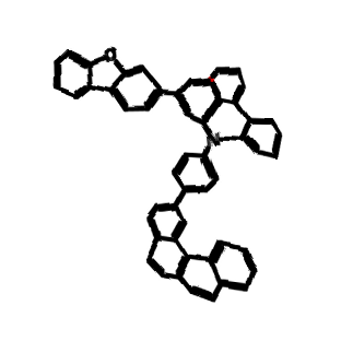 c1ccc(-c2ccccc2N(c2ccc(-c3ccc4ccc5ccc6ccccc6c5c4c3)cc2)c2cccc(-c3ccc4c(c3)oc3ccccc34)c2)cc1